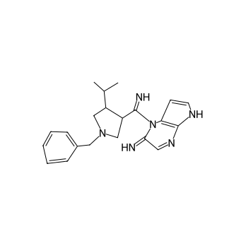 CC(C)C1CN(Cc2ccccc2)CC1C(=N)n1c(=N)cnc2[nH]ccc21